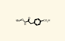 CC(C)(C)ONC(=O)Cc1ccc(C(=O)O)cc1